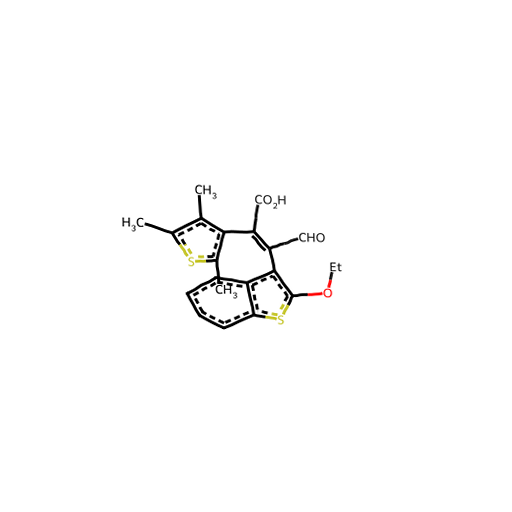 CCOc1sc2ccccc2c1/C(C=O)=C(/C(=O)O)c1c(C)sc(C)c1C